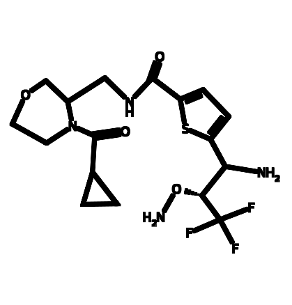 NO[C@H](C(N)c1ccc(C(=O)NCC2COCCN2C(=O)C2CC2)s1)C(F)(F)F